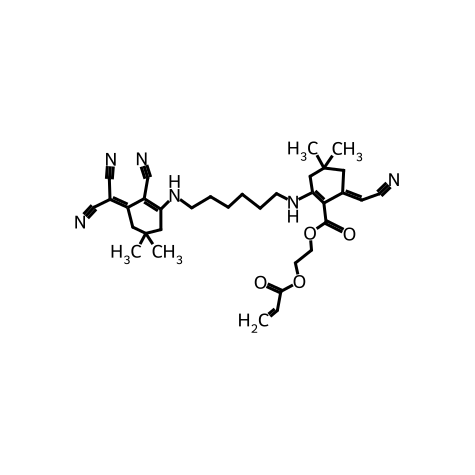 C=CC(=O)OCCOC(=O)C1=C(NCCCCCCNC2=C(C#N)C(=C(C#N)C#N)CC(C)(C)C2)CC(C)(C)C/C1=C\C#N